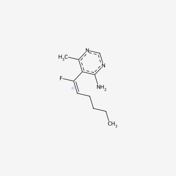 CCCC/C=C(/F)c1c(C)ncnc1N